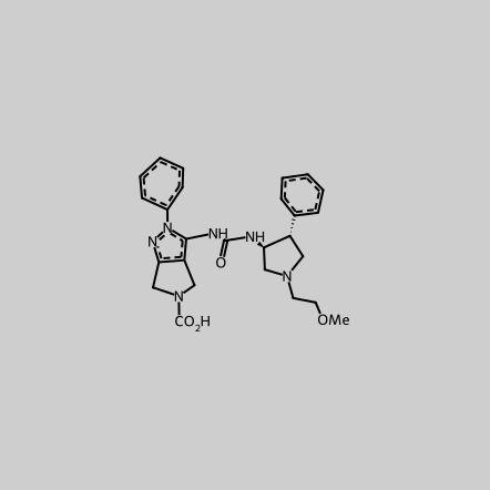 COCCN1C[C@@H](NC(=O)Nc2c3c(nn2-c2ccccc2)CN(C(=O)O)C3)[C@H](c2ccccc2)C1